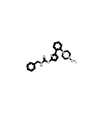 CN1CCN(c2ccccc2-c2ccc(OC(=O)NCc3ccccc3)s2)CC1